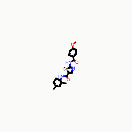 COc1ccc(C(=O)Nc2ncc(C(=O)Nc3ccc(C)cc3C)[se]2)cc1